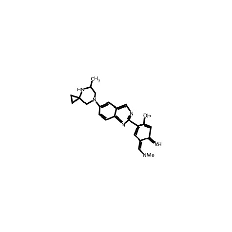 CN/C=C1/C=C(c2ncc3cc(N4CC(C)NC5(CC5)C4)ccc3n2)C(O)=CC1=N